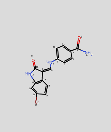 NC(=O)c1ccc(N/C=C2\C(=O)Nc3cc(Br)ccc32)cc1